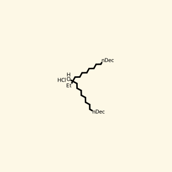 CCCCCCCCCCCCCCCCCCC(O)(CC)CCCCCCCCCCCCCCCCCC.Cl